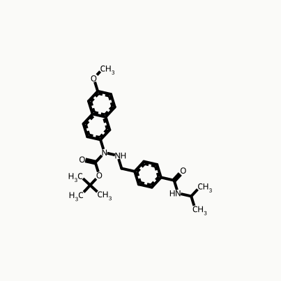 COc1ccc2cc(N(NCc3ccc(C(=O)NC(C)C)cc3)C(=O)OC(C)(C)C)ccc2c1